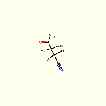 CC(C)(C#N)C(C)(C)C(N)=O